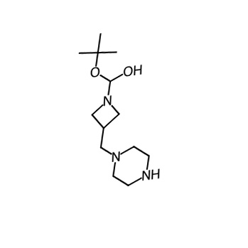 CC(C)(C)OC(O)N1CC(CN2CCNCC2)C1